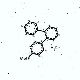 COc1ccc(-c2ccccc2-c2ccccc2)cc1.S